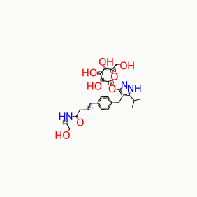 CC(C)c1[nH]nc(O[C@@H]2O[C@H](CO)[C@@H](O)[C@H](O)[C@H]2O)c1Cc1ccc(/C=C/CC(=O)N[C@@H](C)CO)cc1